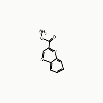 NOC(=O)c1cnc2ccccc2n1